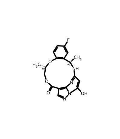 C[C@H]1COC(=O)c2cnn3c(O)cc(nc23)N[C@H](C)c2cc(F)ccc2O1